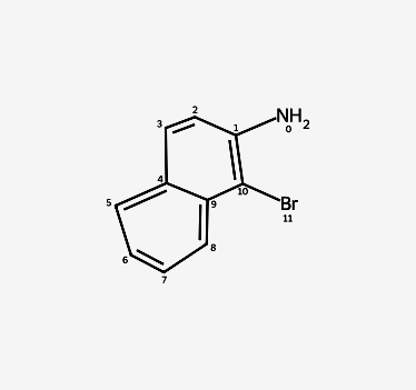 Nc1ccc2ccccc2c1Br